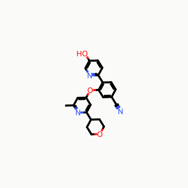 Cc1cc(Oc2cc(C#N)ccc2-c2ccc(O)cn2)cc(C2CCOCC2)n1